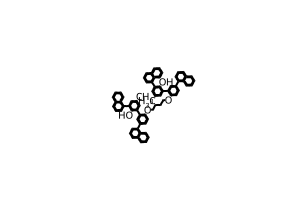 Cc1cc(-c2cc(-c3cccc4ccccc34)ccc2OCCCCOc2ccc(-c3cccc4ccccc34)cc2-c2cc(C)cc(-c3cccc4ccccc34)c2O)c(O)c(-c2cccc3ccccc23)c1